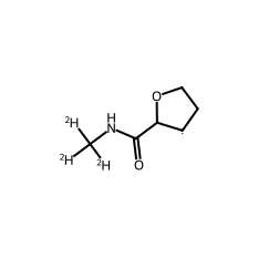 [2H]C([2H])([2H])NC(=O)C1[CH]CCO1